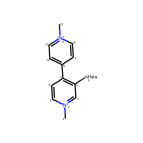 CCCCCCc1c[n+](C)ccc1-c1cc[n+](C)cc1